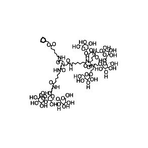 O=C(CCCCCNC(=O)CN(CC(=O)NCCCCCC(=O)N[C@@H](CCC(=O)N(CCO[C@H]1O[C@H](CO)[C@@H](O)[C@H](O)[C@@H]1O)CCO[C@H]1O[C@H](CO)[C@@H](O)[C@H](O)[C@@H]1O)C(=O)N(CCO[C@H]1O[C@H](CO)[C@@H](O)[C@H](O)[C@@H]1O)CCO[C@H]1O[C@H](CO)[C@@H](O)[C@H](O)[C@@H]1O)CC(=O)NCCCCCC(=O)OCc1ccccc1)NCCO[C@H]1O[C@H](CO[C@H]2O[C@H](CO)[C@@H](O)[C@H](O)[C@@H]2O)[C@@H](O)[C@H](O[C@H]2O[C@H](CO)[C@@H](O)[C@H](O)[C@@H]2O)[C@@H]1O